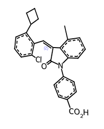 Cc1cccc2c1/C(=C/c1c(Cl)cccc1C1CCC1)C(=O)N2c1ccc(C(=O)O)cc1